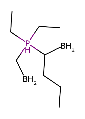 BC[PH](CC)(CC)C(B)CCC